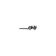 CCCCCCC/C=C/c1ccn2nc(-c3nccnc3C)cc2n1